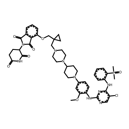 COc1cc(N2CCC(N3CCN(CC4(COc5cccc6c5C(=O)N(C5CCC(=O)NC5=O)C6=O)CC4)CC3)CC2)ccc1Nc1ncc(Cl)c(Nc2ccccc2P(C)(C)=O)n1